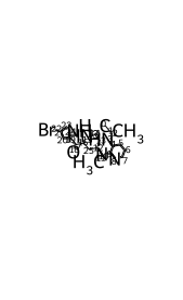 CC(C)Nc1cccnc1N(C)C1CCNC(C(=O)c2cc(Br)c[nH]2)C1